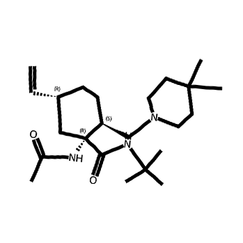 C=C[C@@H]1CC[C@@H](CN2CCC(C)(C)CC2)[C@@](NC(C)=O)(C(=O)NC(C)(C)C)C1